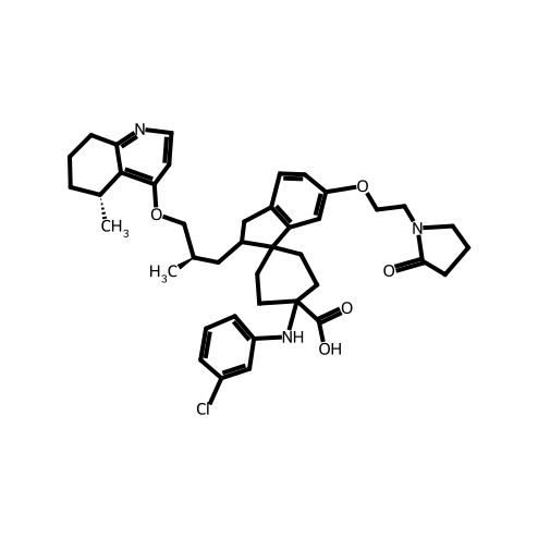 C[C@@H](COc1ccnc2c1[C@H](C)CCC2)CC1Cc2ccc(OCCN3CCCC3=O)cc2C12CCC(Nc1cccc(Cl)c1)(C(=O)O)CC2